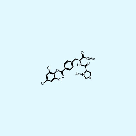 COC(=O)[C@H](Cc1ccc(C(=O)Oc2c(Cl)cc(Cl)cc2Cl)cc1)NC(=O)[C@H]1CSCN1C(C)=O